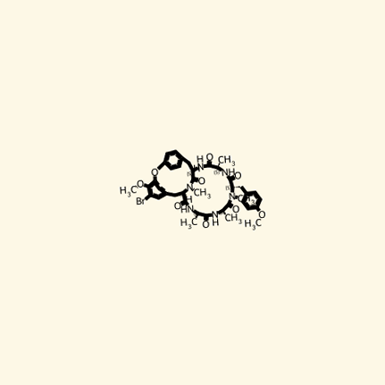 COc1ccc(C[C@H]2C(=O)N[C@@H](C)C(=O)N[C@H]3Cc4ccc(cc4)Oc4cc(cc(Br)c4OC)C[C@@H](C(=O)N[C@H](C)C(=O)N[C@@H](C)C(=O)N2C)N(C)C3=O)cc1